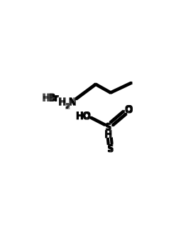 Br.CCCN.O=[SH](O)=S